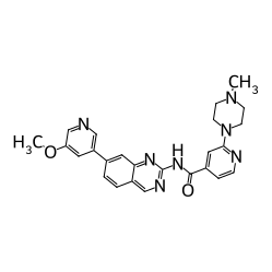 COc1cncc(-c2ccc3cnc(NC(=O)c4ccnc(N5CCN(C)CC5)c4)nc3c2)c1